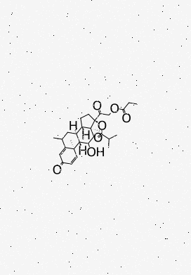 CCC(=O)OCC(=O)[C@@]1(OC(=O)C(C)C)CC[C@H]2[C@@H]3CC(C)C4=CC(=O)C=C[C@]4(C)[C@H]3C(O)C[C@@]21C